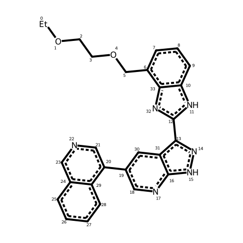 CCOCCOCc1cccc2[nH]c(-c3n[nH]c4ncc(-c5cncc6ccccc56)cc34)nc12